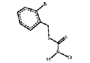 CCN(CC)C(=S)SCc1ccccc1Br